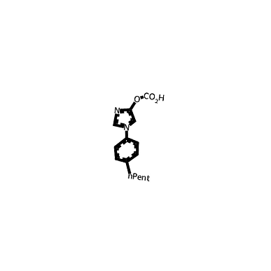 CCCCCc1ccc(-n2cnc(OC(=O)O)c2)cc1